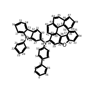 c1ccc(-c2ccc(N(c3ccc4c5ccccc5n(-c5ccccc5)c4c3)c3cc4oc5cccc6c5c4c4c3ccc3ccc5cccc-6c5c34)cc2)cc1